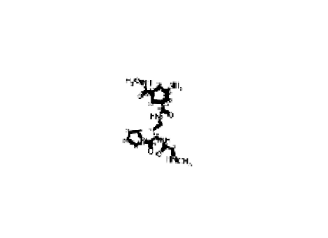 CNCC(=O)N[C@@H](CCNC(=O)c1cc(N)cc(C(=O)NC)c1)C(=O)N1CCCC1